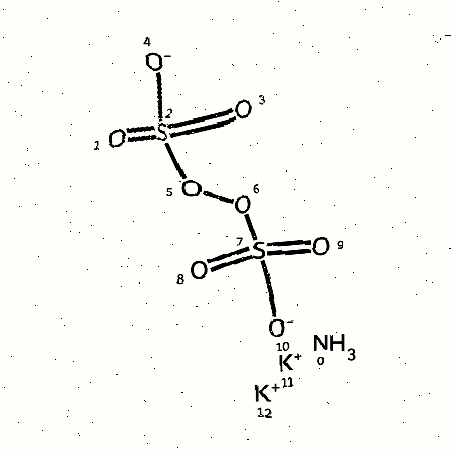 N.O=S(=O)([O-])OOS(=O)(=O)[O-].[K+].[K+]